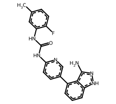 Cc1ccc(F)c(NC(=O)Nc2ccc(-c3cccc4[nH]nc(N)c34)cn2)c1